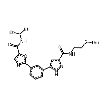 CCC(CC)NC(=O)c1cnc(-c2cccc(-c3cc(C(=O)NCCSC(C)(C)C)n[nH]3)c2)o1